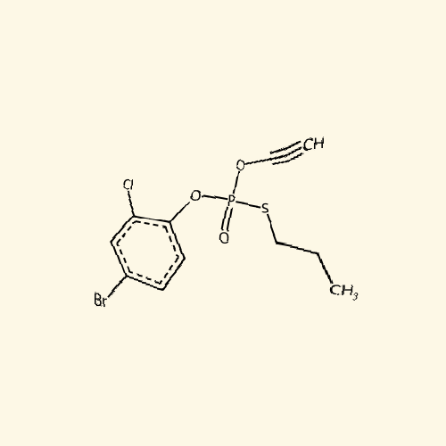 C#COP(=O)(Oc1ccc(Br)cc1Cl)SCCC